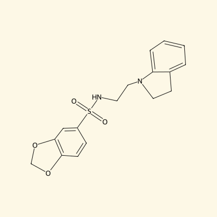 O=S(=O)(NCCN1CCc2ccccc21)c1ccc2c(c1)OCO2